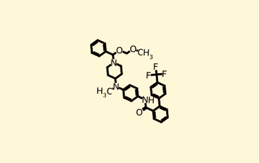 COCOC(c1ccccc1)N1CCC(N(C)c2ccc(NC(=O)c3ccccc3-c3ccc(C(F)(F)F)cc3)cc2)CC1